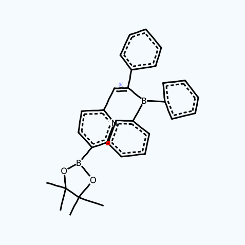 CC1(C)OB(c2ccc(/C=C(\B(c3ccccc3)c3ccccc3)c3ccccc3)nc2)OC1(C)C